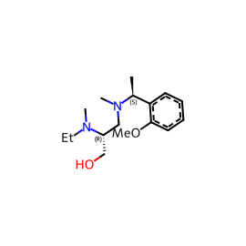 CCN(C)[C@@H](CO)CN(C)[C@@H](C)c1ccccc1OC